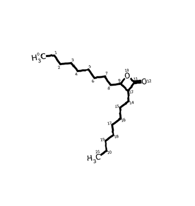 CCCCCCCCCC1OC(=O)C1CCCCCCCC